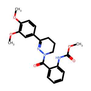 COC(=O)Nc1ccccc1C(=O)N1CCCC(c2ccc(OC)c(OC)c2)=N1